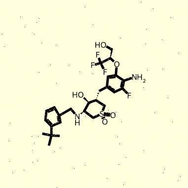 CC(C)(C)c1cccc(CN[C@H]2CS(=O)(=O)C[C@@H](Cc3cc(F)c(N)c(O[C@H](CO)C(F)(F)F)c3)[C@@H]2O)c1